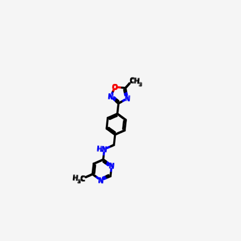 Cc1cc(NCc2ccc(-c3noc(C)n3)cc2)ncn1